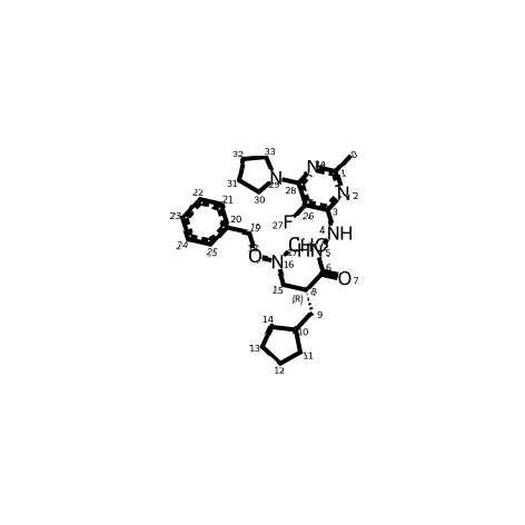 Cc1nc(NNC(=O)[C@H](CC2CCCC2)CN(C=O)OCc2ccccc2)c(F)c(N2CCCC2)n1